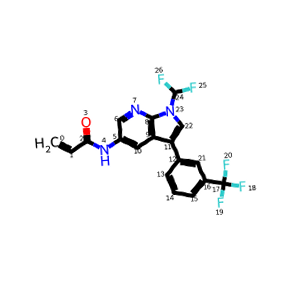 C=CC(=O)Nc1cnc2c(c1)c(-c1cccc(C(F)(F)F)c1)cn2C(F)F